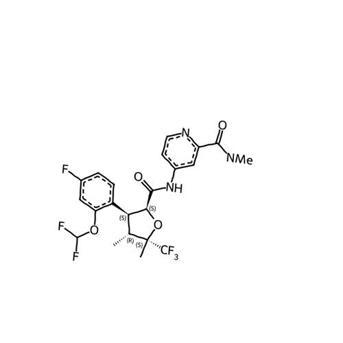 CNC(=O)c1cc(NC(=O)[C@H]2O[C@](C)(C(F)(F)F)[C@H](C)[C@H]2c2ccc(F)cc2OC(F)F)ccn1